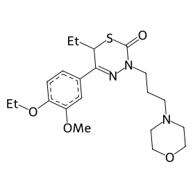 CCOc1ccc(C2=NN(CCCN3CCOCC3)C(=O)SC2CC)cc1OC